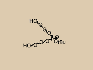 CC(C)(C)OC(=O)N(CCOCCOCCOCCO)CCOCCOCCOCCO